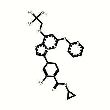 CC1=CC(c2cnc3c(NCC(C)(C)O)cc(Sc4ccccn4)nn23)CC=C1C(=O)NC1CC1